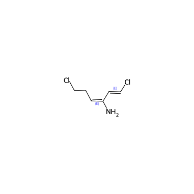 NC(/C=C/Cl)=C/CCCl